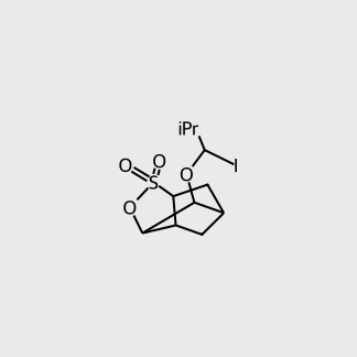 CC(C)C(I)OC1C2CC3C1OS(=O)(=O)C3C2